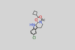 CC(=O)N1CCc2c([nH]c3ccc(Cl)cc23)C1OC(=O)C1CCC1